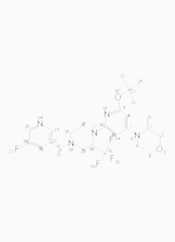 CC1COCCN1c1cc(OC(C)(C)C)nc(N2CCN(Sc3cncc(F)c3)CC2C(F)(F)F)c1